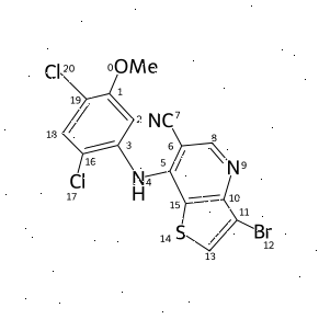 COc1cc(Nc2c(C#N)cnc3c(Br)csc23)c(Cl)cc1Cl